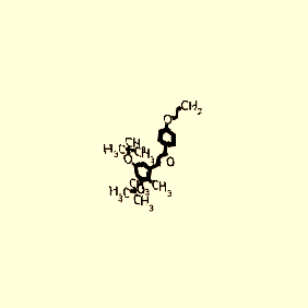 C=CCOc1ccc(C(=O)C=Cc2cc(OC(C)(C)C)cc(OC(C)(C)C)c2C)cc1